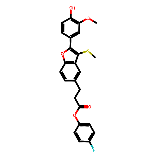 COc1cc(-c2oc3ccc(CCC(=O)Oc4ccc(F)cc4)cc3c2SC)ccc1O